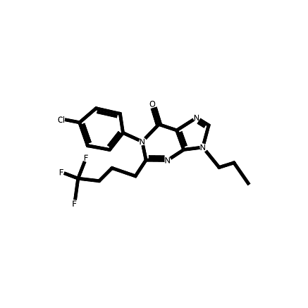 CCCn1cnc2c(=O)n(-c3ccc(Cl)cc3)c(CCCC(F)(F)F)nc21